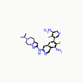 Cc1c(N)cncc1-c1cc2cc(Nc3cc4n(n3)CCN(C(C)C)CC4)ncc2c(N)c1F